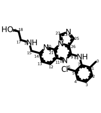 Cc1cccc(Cl)c1Nc1nc2ccc(CNCCO)nc2n2cncc12